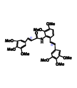 COc1cc(/C=C/C(=O)Nc2c(/C=C/c3cc(OC)c(OC)c(OC)c3)ccc(OC)c2OC)cc(OC)c1OC